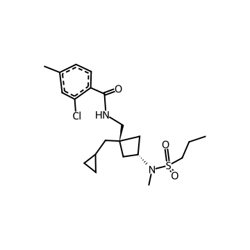 CCCS(=O)(=O)N(C)[C@H]1C[C@@](CNC(=O)c2ccc(C)cc2Cl)(CC2CC2)C1